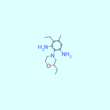 CCc1c(C)cc(N)c(N2CCOC(CC)C2)c1N